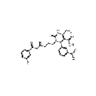 CC1=C(C(=O)O)C(c2cccc([N+](=O)[O-])c2)N(CCCNCC(=O)c2cccc(F)c2)C(=O)N1